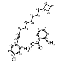 COC(=O)c1ccccc1N.Clc1ccc(C#CCCCCCCCC2CCC2)cc1